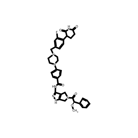 CO[C@@H](C(=O)N1Cc2[nH]nc(NC(=O)c3ccc(N4CCN(Cc5ccc(C6CCC(=O)NC6=O)c(F)c5)CC4)cc3)c2C1)c1ccccc1